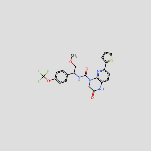 COCC(NC(=O)N1CC(=O)Nc2ccc(-c3cccs3)nc21)c1ccc(OC(F)(F)F)cc1